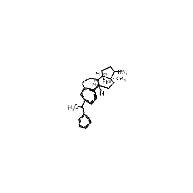 CC(c1ccccc1)c1ccc2c(c1)CC[C@@H]1[C@@H]2CC[C@]2(C)C(N)CC[C@@H]12